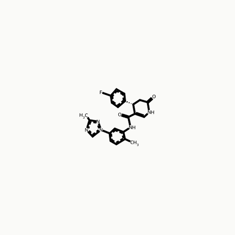 Cc1ncn(-c2ccc(C)c(NC(=O)C3=CNC(=O)C[C@H]3c3ccc(F)cc3)c2)n1